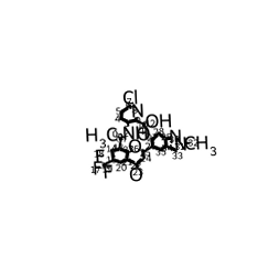 C[C@@H](Nc1ccc(Cl)nc1C(=O)O)c1cc(C(F)(F)F)cc2c(=O)cc(-c3ccc4nn(C)cc4c3)oc12